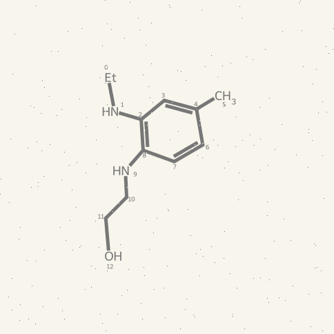 CCNc1cc(C)ccc1NCCO